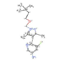 Cc1nn(COCC[Si](C)(C)C)c(C)c1-c1ncc(N)cc1F